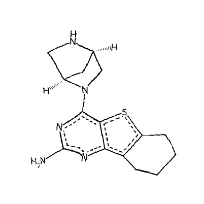 Nc1nc(N2C[C@H]3C[C@@H]2CN3)c2sc3c(c2n1)CCCC3